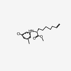 C=CCCCCC[C@H](Nc1cc(C)cc(Cl)c1)C(=O)OC